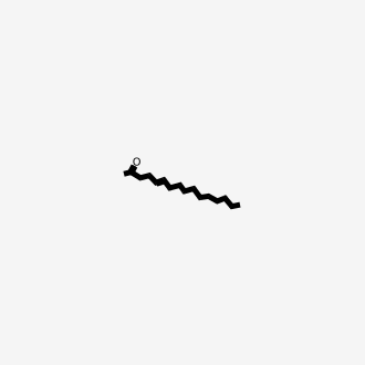 CCCCCCCCCCC=CCCC(C)=O